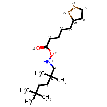 CC(C)(C)CCC(C)(C)CNOC(=O)CCCCC1CCSS1